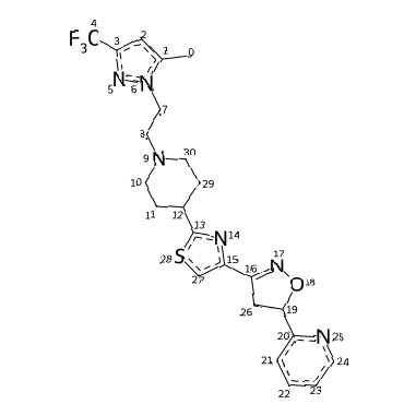 Cc1cc(C(F)(F)F)nn1[CH][CH]N1CCC(c2nc(C3=NOC(c4ccccn4)C3)cs2)CC1